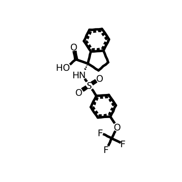 O=C(O)[C@]1(NS(=O)(=O)c2ccc(OC(F)(F)F)cc2)CCc2ccccc21